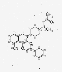 CC(CC(N)=O)N1CCC(N(Cc2cccc(C#N)c2)C2=COC=C(C3=CC=CCC3)O2)CC1